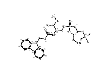 CC(C)(C)OC(=O)[C@H](COP(=O)(OCCC#N)OCC[N+](C)(C)C)NC(=O)OCC1c2ccccc2-c2ccccc21